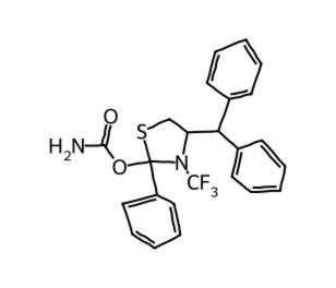 NC(=O)OC1(c2ccccc2)SCC(C(c2ccccc2)c2ccccc2)N1C(F)(F)F